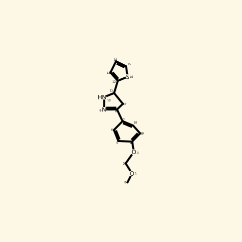 COCOc1ccc(C2=NNC(c3cccs3)C2)cc1